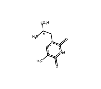 Cc1cn(C[C@H](N)C(=O)O)c(=O)[nH]c1=O